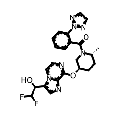 C[C@@H]1CC[C@@H](Oc2nccn3c(C(O)C(F)F)cnc23)CN1C(=O)c1ccccc1-n1nccn1